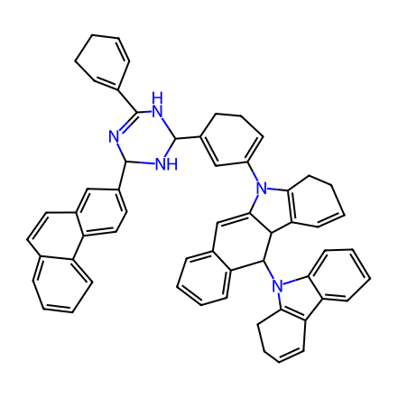 C1=CC(C2=NC(c3ccc4c(ccc5ccccc54)c3)NC(C3=CC(N4C5=Cc6ccccc6C(n6c7c(c8ccccc86)C=CCC7)C5C5=C4CCC=C5)=CCC3)N2)=CCC1